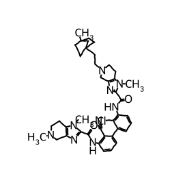 CN1CCc2c(nc(C(=O)Nc3cccc(-c4cccc(NC(=O)c5nc6c(n5C)CCN(CCC57CCC(C)(CC5)C7)C6)c4Cl)c3C#N)n2C)C1